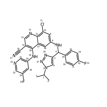 CC(C)n1cc(C(Nc2cc(Cl)c3ncc(C#N)c(Nc4cncc(F)c4)c3c2)c2ccc(F)cc2)nn1